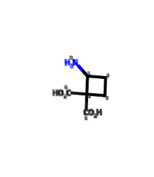 NC1CCC1(C(=O)O)C(=O)O